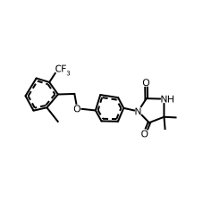 Cc1cccc(C(F)(F)F)c1COc1ccc(N2C(=O)NC(C)(C)C2=O)cc1